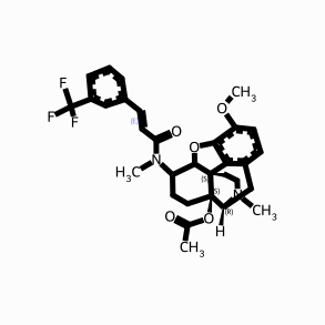 COc1ccc2c3c1OC1C(N(C)C(=O)/C=C/c4cccc(C(F)(F)F)c4)CC[C@@]4(OC(C)=O)[C@@H](C2)N(C)CC[C@]314